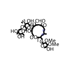 COC1C(O)=CO[C@@H](OCC2/C=C(C)/C=C/C(=O)[C@H](C)C[C@H](CC=O)[C@H](O[C@@H]3OC(C)[C@@H](O[C@H]4CC(C)(O)[C@@H](O)C(C)O4)C(N(C)C)C3O)[C@@H](C)[C@H](O)CC(=O)O[C@@H]2I)C1OC